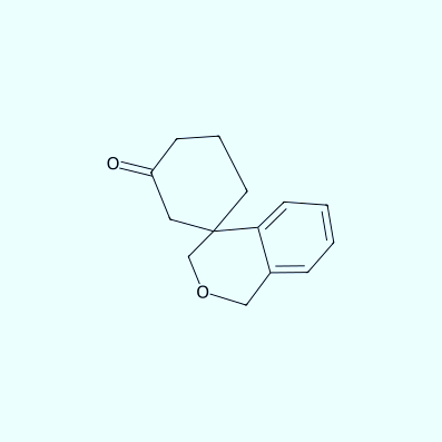 O=C1CCCC2(COCc3ccccc32)C1